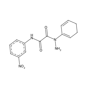 NN(C(=O)C(=O)Nc1cccc([N+](=O)[O-])c1)C1=CCCC=C1